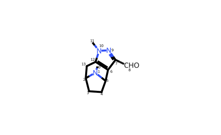 CN1C2CCC1c1c(C=O)nn(C)c1C2